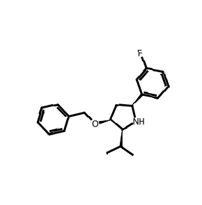 CC(C)[C@@H]1N[C@H](c2cccc(F)c2)C[C@@H]1OCc1ccccc1